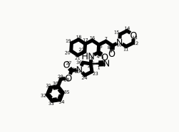 N#C[C@@]1(NC(=O)C(CC(=O)N2CCOCC2)CC2CCCCC2)CCN(C(=O)OCc2ccccc2)C1